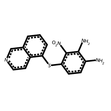 Nc1ccc(Sc2cccc3cnccc23)c([N+](=O)[O-])c1N